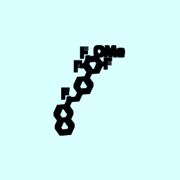 COc1c(F)cc(-c2ccc(CC(F)c3ccc4ccccc4c3)cc2)c(F)c1F